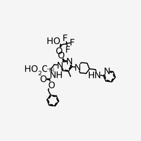 Cc1cn(C[C@H](NC(=O)OCc2ccccc2)C(=O)O)c(=O)nc1N1CCC(CNc2ccccn2)CC1.O=C(O)C(F)(F)F